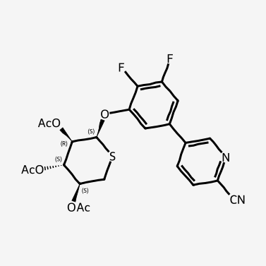 CC(=O)O[C@@H]1[C@@H](OC(C)=O)[C@@H](Oc2cc(-c3ccc(C#N)nc3)cc(F)c2F)SC[C@H]1OC(C)=O